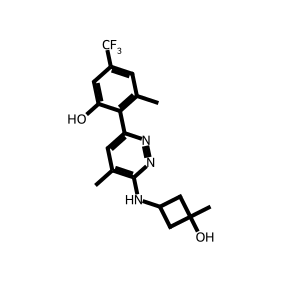 Cc1cc(-c2c(C)cc(C(F)(F)F)cc2O)nnc1NC1CC(C)(O)C1